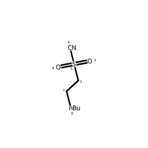 CCCCCCS(=O)(=O)C#N